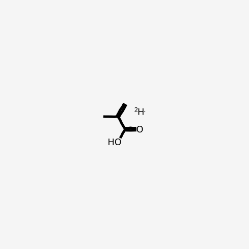 C=C(C)C(=O)O.[2H]